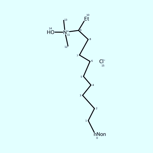 CCCCCCCCCCCCCCCCCC(CC)[N+](C)(C)O.[Cl-]